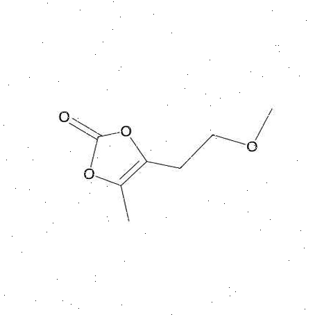 COCCc1oc(=O)oc1C